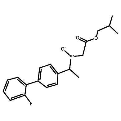 CC(C)COC(=O)C[S+]([O-])C(C)c1ccc(-c2ccccc2F)cc1